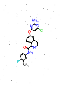 Nc1nc(Cl)cc(Oc2ccc3c(C(=O)Nc4ccc(F)c(C(F)(F)F)c4)nccc3c2)n1